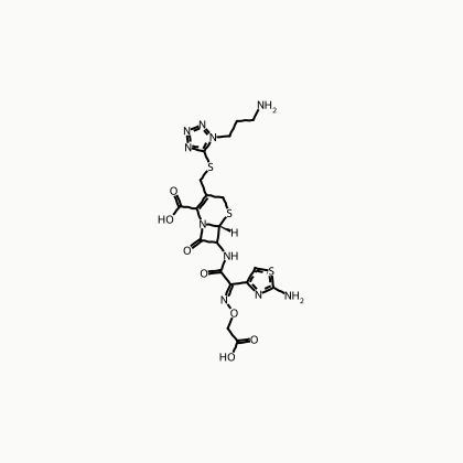 NCCCn1nnnc1SCC1=C(C(=O)O)N2C(=O)C(NC(=O)/C(=N/OCC(=O)O)c3csc(N)n3)[C@H]2SC1